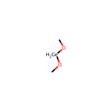 C[O][GeH2][O]C